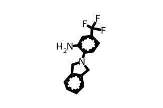 Nc1cc(C(F)(F)F)ccc1N1Cc2ccccc2C1